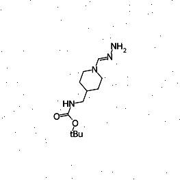 CC(C)(C)OC(=O)NCC1CCN(C=NN)CC1